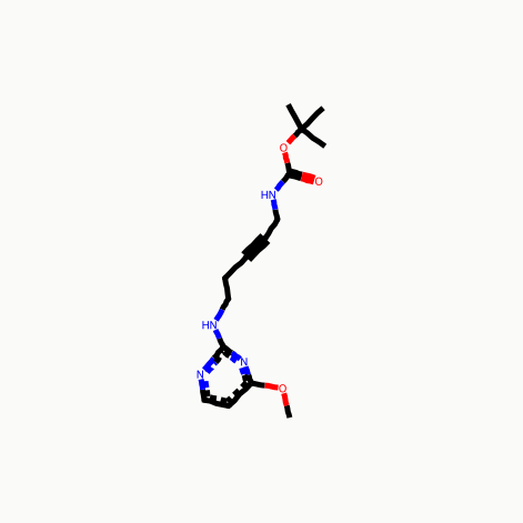 COc1ccnc(NCCC#CCNC(=O)OC(C)(C)C)n1